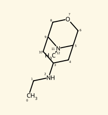 CCNC1CC2COCC(C1)N2C